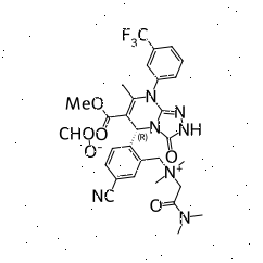 COC(=O)C1=C(C)N(c2cccc(C(F)(F)F)c2)c2n[nH]c(=O)n2[C@@H]1c1ccc(C#N)cc1C[N+](C)(C)CC(=O)N(C)C.O=C[O-]